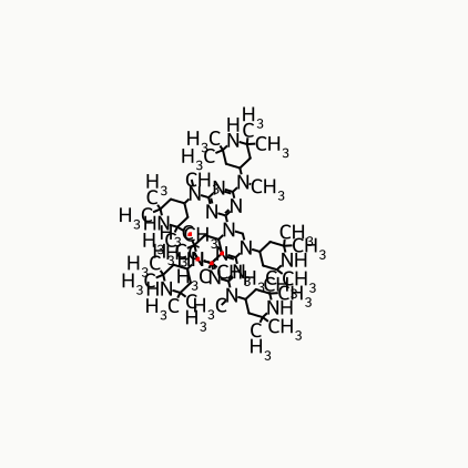 CN(c1nc(N(C)C2CC(C)(C)NC(C)(C)C2)nc(N(CN(c2nc(N(C)C3CC(C)(C)NC(C)(C)C3)nc(N(C)C3CC(C)(C)NC(C)(C)C3)n2)C2CC(C)(C)NC(C)(C)C2)C2CC(C)(C)NC(C)(C)C2)n1)C1CC(C)(C)NC(C)(C)C1